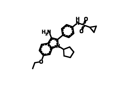 CCOc1ccc2c(N)c(-c3ccc(NS(=O)(=O)C4CC4)cc3)n(C3CCCC3)c2c1